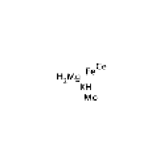 [Ce].[Fe].[KH].[MgH2].[Mo]